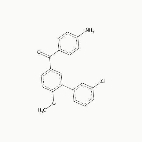 COc1ccc(C(=O)c2ccc(N)cc2)cc1-c1cccc(Cl)c1